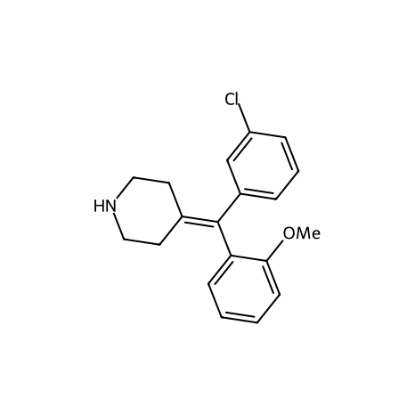 COc1ccccc1C(=C1CCNCC1)c1cccc(Cl)c1